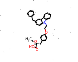 CCO[C@@H](Cc1ccc(OCCn2c3ccccc3c3cc(Cc4ccccc4)ccc32)cc1)C(=O)O